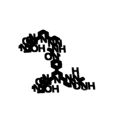 CNC(=O)C(C)Nc1nccc(-c2cc(-c3ccc(N(C)C(=O)C(C)Nc4nccc(-c5cccc(-c6cc(C7(O)CCN(C)C7=O)on6)n5)n4)cc3)cc(-c3cc(C4(O)CCN(C)C4=O)on3)n2)n1